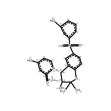 CC1(C)Oc2ccc(S(=O)(=O)c3cccc(O)c3)cc2[C@@H](n2ccc(O)cc2=O)[C@]1(C)O